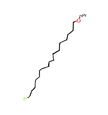 CCCOCCCCCCCCCCCCCCCCF